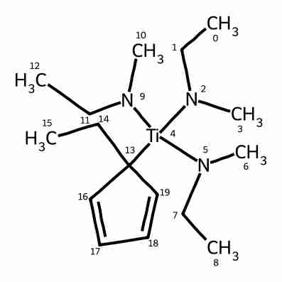 CC[N](C)[Ti]([N](C)CC)([N](C)CC)[C]1(CC)C=CC=C1